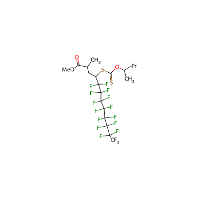 COC(=O)C(C)CC(SC(=S)OC(C)C(C)C)C(F)(F)C(F)(F)C(F)(F)C(F)(F)C(F)(F)C(F)(F)C(F)(F)C(F)(F)F